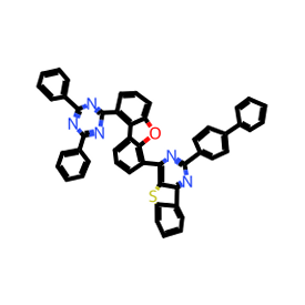 c1ccc(-c2ccc(-c3nc(-c4cccc5c4oc4cccc(-c6nc(-c7ccccc7)nc(-c7ccccc7)n6)c45)c4sc5ccccc5c4n3)cc2)cc1